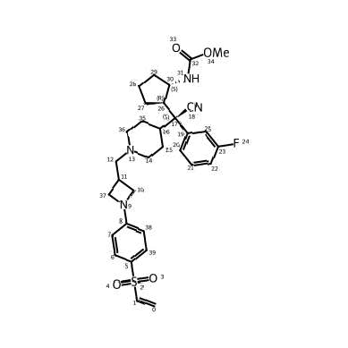 C=CS(=O)(=O)c1ccc(N2CC(CN3CCC([C@@](C#N)(c4cccc(F)c4)[C@H]4CCC[C@@H]4NC(=O)OC)CC3)C2)cc1